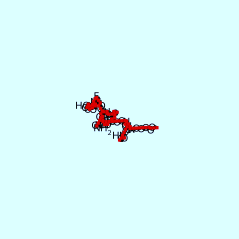 C=CCOC(=O)CCOCCOCCOCCN(C)C(=O)CN(CC(=O)N(C)CCOCCOCCOCCC(=O)N[C@H](C(=O)N[C@@H](CCCNC(N)=O)C(=O)Nc1ccc(COC(=O)N[C@H]2CCc3c(C)c(F)cc4nc5c(c2c34)Cn2c-5cc3c(c2=O)COC(=O)[C@]3(O)CC)c(CN(C)C(=O)OCC2c3ccccc3-c3ccccc32)c1)C(C)C)C(=O)CCOCCNC(=O)OC(C)(C)C